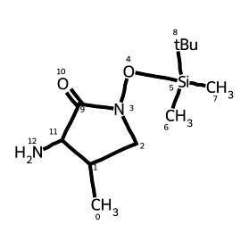 CC1CN(O[Si](C)(C)C(C)(C)C)C(=O)C1N